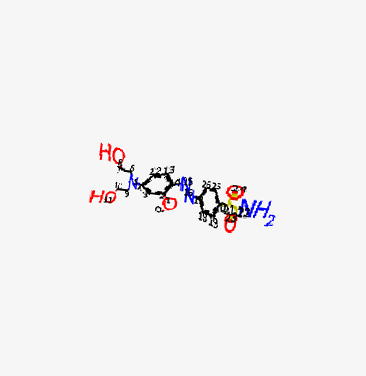 COc1cc(N(CCO)CCO)ccc1N=Nc1ccc(S(N)(=O)=O)cc1